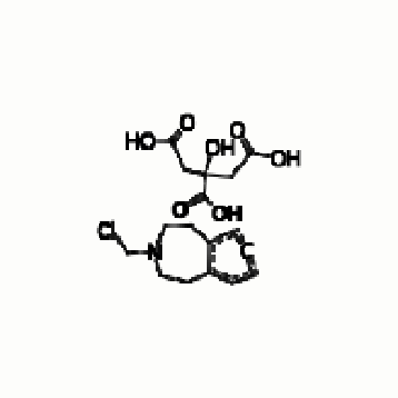 ClCN1CCc2ccccc2CC1.O=C(O)CC(O)(CC(=O)O)C(=O)O